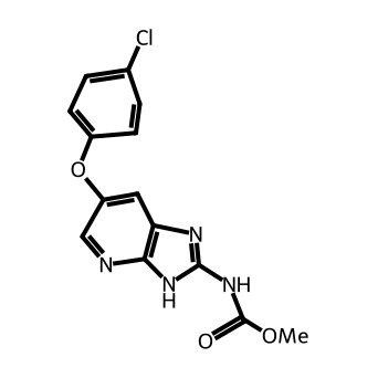 COC(=O)Nc1nc2cc(Oc3ccc(Cl)cc3)cnc2[nH]1